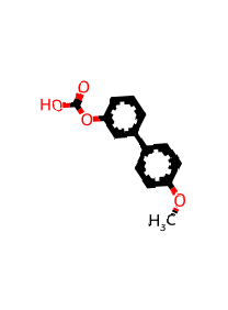 COc1ccc(-c2cccc(OC(=O)O)c2)cc1